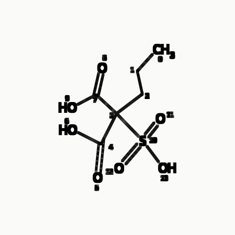 CCCC(C(=O)O)(C(=O)O)S(=O)(=O)O